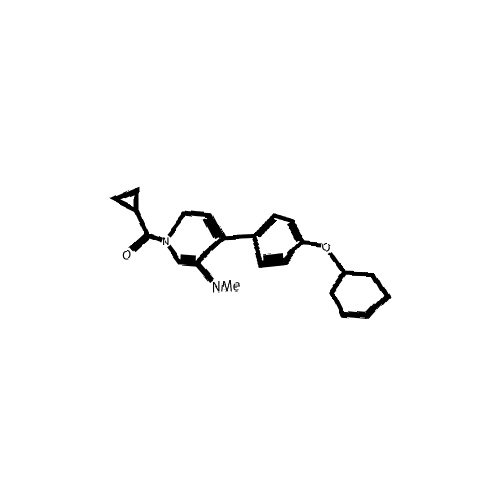 CNC1=CN(C(=O)C2CC2)CC=C1c1ccc(OC2CCCCC2)cc1